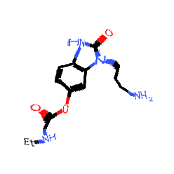 CCNC(=O)Oc1ccc2[nH]c(=O)n(CCN)c2c1